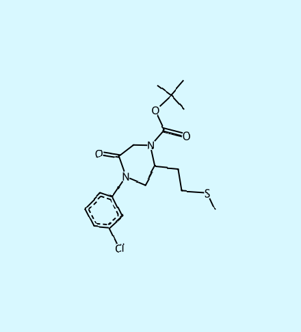 CSCCC1CN(c2cccc(Cl)c2)C(=O)CN1C(=O)OC(C)(C)C